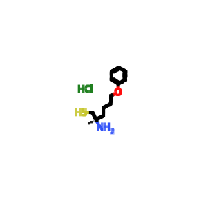 C[C@](N)(CS)CCCCOc1ccccc1.Cl